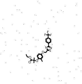 CCOC(=O)C(C)(C)Oc1ccc(OCc2nc(-c3ccc(C(F)(F)F)cc3)ns2)cc1C